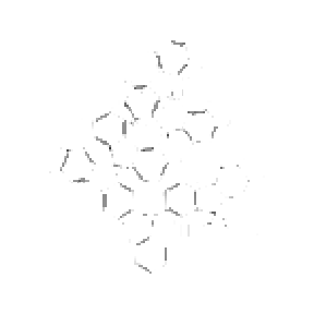 CC1(C)c2cc(N(c3ccccc3)c3ccc4c(c3)C3(c5ccccc5-4)c4ccccc4-c4c(N(c5ccccc5)c5cccc6c5oc5ccccc56)cccc43)ccc2C2CCCCC21